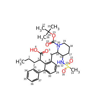 CCCC(C(=O)O)c1c(CC2C(NS(C)(=O)=O)CCCN2C(=O)OC(C)(C)C)cccc1-c1ccccc1